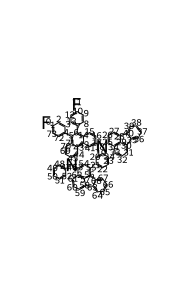 Fc1ccc(-c2c(-c3ccc(F)cc3)c3ccc(N(c4ccccc4)c4ccc5c6c(cccc46)-c4ccccc4-5)cc3c3cc(N(c4ccccc4)c4ccc5c6c(cccc46)-c4ccccc4-5)ccc23)cc1